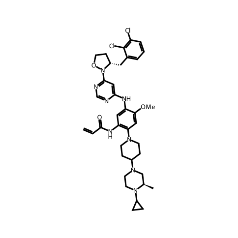 C=CC(=O)Nc1cc(Nc2cc(N3OCC[C@@H]3Cc3cccc(Cl)c3Cl)ncn2)c(OC)cc1N1CCC(N2CCN(C3CC3)[C@H](C)C2)CC1